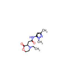 CCN1CCOC(=O)C1CC(=O)Nc1cc(C)nn1C